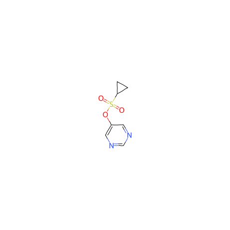 O=S(=O)(Oc1cncnc1)C1CC1